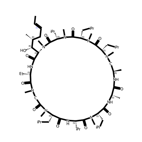 C/C=C/C[C@@H](C)[C@@H](O)[C@H]1C(=O)N[C@@H](CC)C(=O)N(C)CC(=O)N(C)[C@@H](CC(C)C)C(=O)N[C@@H](C(C)C)C(=O)N(C)[C@@H](CC(C)C)C(=O)N[C@@H](C)C(=O)N[C@H](C)CN(C)[C@@H](CC(C)C)C(=O)N(C)[C@@H](CC(C)C)C(=O)N(C)[C@@H](C(C)C)C(=O)N1C